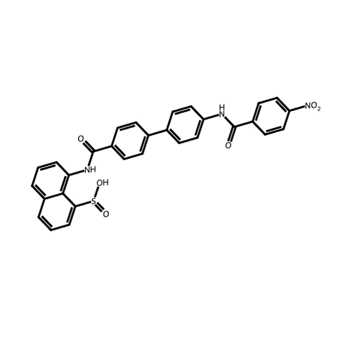 O=C(Nc1ccc(-c2ccc(C(=O)Nc3cccc4cccc(S(=O)O)c34)cc2)cc1)c1ccc([N+](=O)[O-])cc1